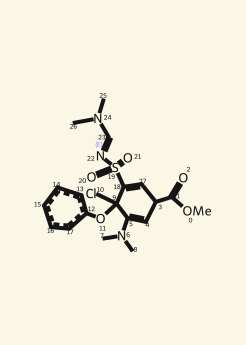 COC(=O)C1C=C(N(C)C)C(Cl)(Oc2ccccc2)C(S(=O)(=O)/N=C/N(C)C)=C1